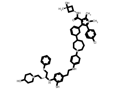 Cc1c(C(=O)N[C@H]2C[C@@](C)(O)C2)c(C2=CC=CC(C3CCCN(C4C=CC(NCCc5ccc(N[C@H](CCN6CCC(O)CC6)CSc6ccccc6)c(S)c5)=CC4)CC3)C2)c(-c2c#cc(Cl)cc2)n1C